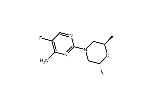 C[C@@H]1CN(c2ncc(F)c(N)n2)C[C@@H](C)O1